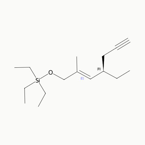 C#CC[C@H](/C=C(\C)CO[Si](CC)(CC)CC)CC